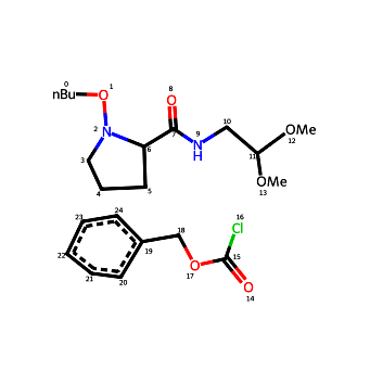 CCCCON1CCCC1C(=O)NCC(OC)OC.O=C(Cl)OCc1ccccc1